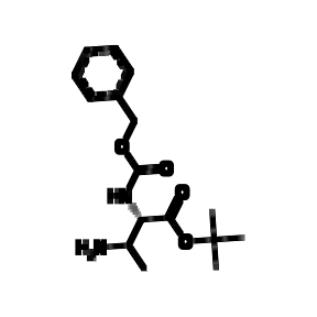 CC(N)[C@H](NC(=O)OCc1ccccc1)C(=O)OC(C)(C)C